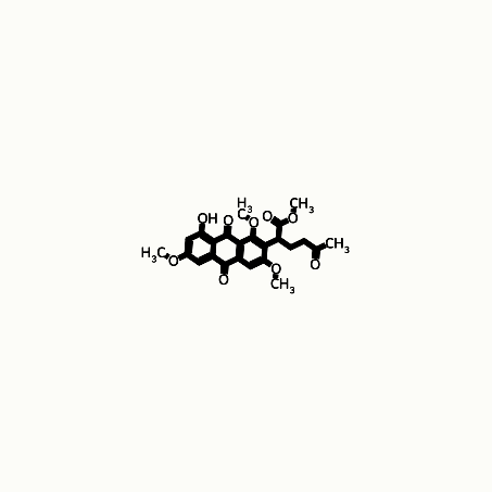 COC(=O)C(CCC(C)=O)c1c(OC)cc2c(c1OC)C(=O)c1c(O)cc(OC)cc1C2=O